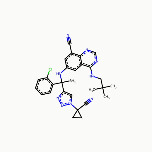 BC(Nc1cc(C#N)c2ncnc(NCC(C)(C)C)c2c1)(c1cn(C2(C#N)CC2)nn1)c1ccccc1Cl